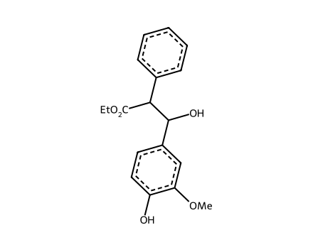 CCOC(=O)C(c1ccccc1)C(O)c1ccc(O)c(OC)c1